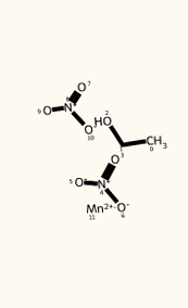 CCO.O=[N+]([O-])[O-].O=[N+]([O-])[O-].[Mn+2]